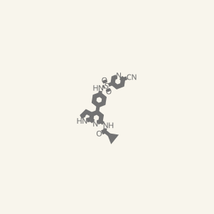 N#Cc1ccc(S(=O)(=O)Nc2ccc(-c3cc(NC(=O)C4CC4)nc4[nH]ccc34)cc2)cn1